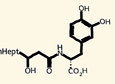 CCCCCCCC(O)CC(=O)N[C@H](Cc1ccc(O)c(O)c1)C(=O)O